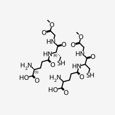 COC(=O)CNC(=O)C(CS)NC(=O)CCC(N)C(=O)O.COC(=O)CNC(=O)[C@H](CS)NC(=O)CC[C@H](N)C(=O)O